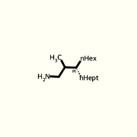 CCCCCCC[C@@H](CCCCCC)C(C)CN